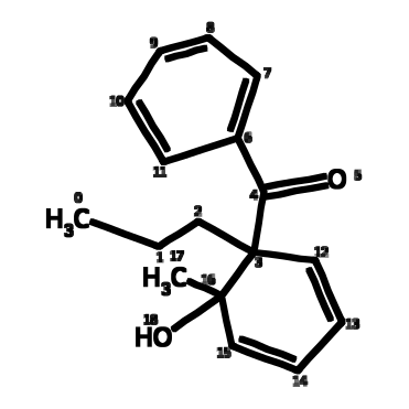 CCCC1(C(=O)c2ccccc2)C=CC=CC1(C)O